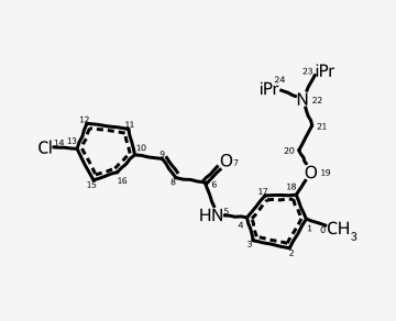 Cc1ccc(NC(=O)C=Cc2ccc(Cl)cc2)cc1OCCN(C(C)C)C(C)C